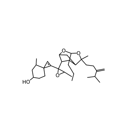 C=C(CCC1(C)OC2OC3CC1C2(CCC)C3C1(C2=CC23CCC(O)CC3C)OC1C)C(C)C